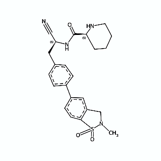 CN1Cc2cc(-c3ccc(C[C@@H](C#N)NC(=O)[C@@H]4CCCCN4)cc3)ccc2S1(=O)=O